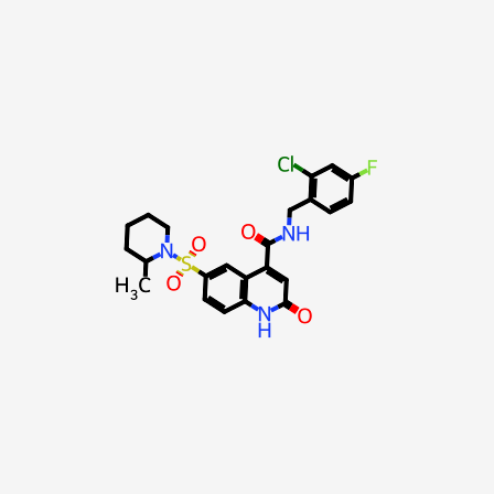 CC1CCCCN1S(=O)(=O)c1ccc2[nH]c(=O)cc(C(=O)NCc3ccc(F)cc3Cl)c2c1